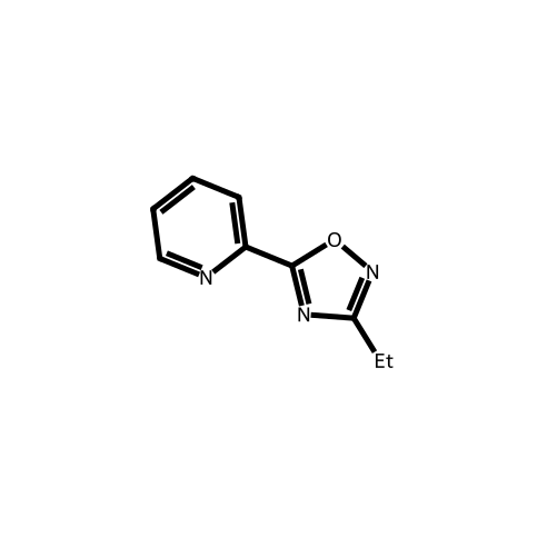 CCc1noc(-c2ccccn2)n1